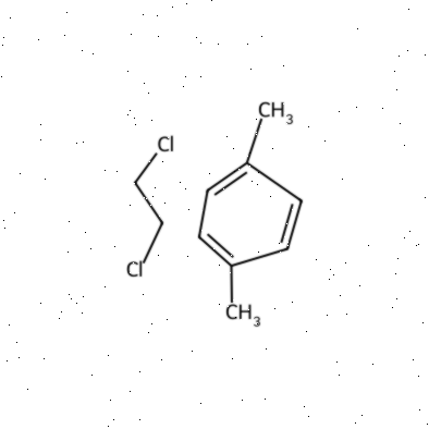 Cc1ccc(C)cc1.ClCCCl